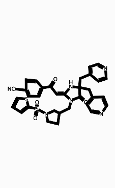 N#Cc1ccc(C(=O)C=C2NC(Cc3ccncc3)(Cc3ccncc3)C(=O)N2CC2CCN(S(=O)(=O)c3cccs3)C2)cc1